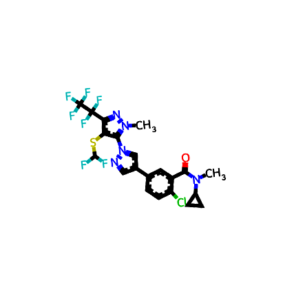 CN(C(=O)c1cc(-c2cnn(-c3c(SC(F)F)c(C(F)(F)C(F)(F)F)nn3C)c2)ccc1Cl)C1CC1